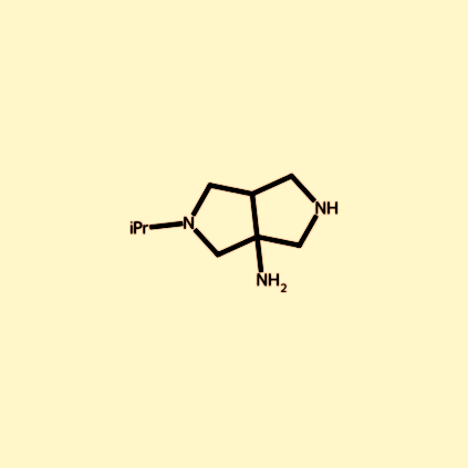 CC(C)N1CC2CNCC2(N)C1